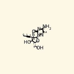 CC#C[C@@]1(F)C(O)[C@@H](CO)O[C@H]1n1ncc(N)nc1=O